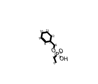 CCP(=O)(O)OCC1C=CCCC1